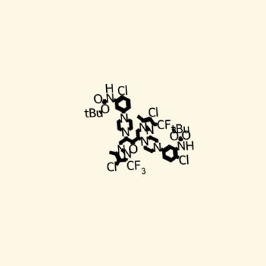 Cc1c(Cl)c(C(F)(F)F)nn1CC(C(=O)C(Cn1nc(C(F)(F)F)c(Cl)c1C)N1CCN(c2ccc(Cl)c(NC(=O)OC(C)(C)C)c2)CC1)N1CCN(c2ccc(Cl)c(NC(=O)OC(C)(C)C)c2)CC1